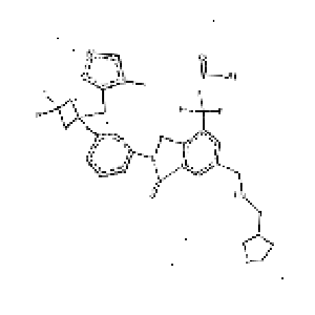 Cn1cnnc1CC1(c2cccc(N3Cc4c(cc(CNCC5CCOC5)cc4C(F)(F)F)C3=O)c2)CC(F)(F)C1.O=CO